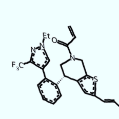 C=CC(=O)N1Cc2sc(/C=C/C)cc2[C@H](c2ccccc2-c2cn(CC)nc2C(F)(F)F)C1